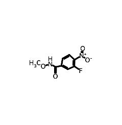 CONC(=O)c1ccc([N+](=O)[O-])c(F)c1